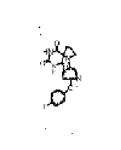 O=C1NC(=O)C2(CCCN2c2ccc(Oc3ccc(F)cc3)nc2)C(=O)N1